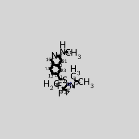 C=C(S/C(=N\C(C)C)C(F)(F)F)c1ccc2cnc(NC)cc2c1